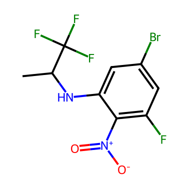 CC(Nc1cc(Br)cc(F)c1[N+](=O)[O-])C(F)(F)F